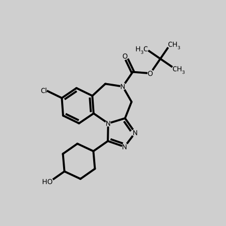 CC(C)(C)OC(=O)N1Cc2cc(Cl)ccc2-n2c(nnc2C2CCC(O)CC2)C1